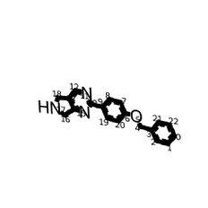 c1ccc(COc2ccc(-c3ncc4c(n3)CNC4)cc2)cc1